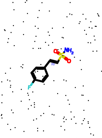 NS(=O)(=O)/C=C/c1ccc(F)cc1